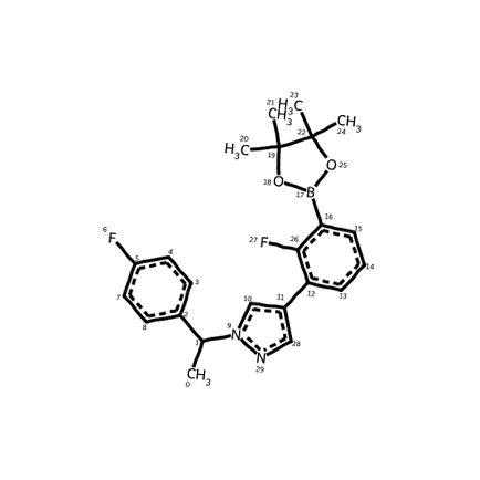 CC(c1ccc(F)cc1)n1cc(-c2cccc(B3OC(C)(C)C(C)(C)O3)c2F)cn1